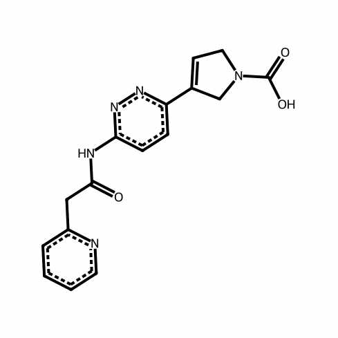 O=C(Cc1ccccn1)Nc1ccc(C2=CCN(C(=O)O)C2)nn1